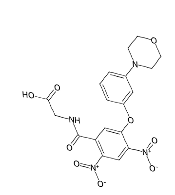 O=C(O)CNC(=O)c1cc(Oc2cccc(N3CCOCC3)c2)c([N+](=O)[O-])cc1[N+](=O)[O-]